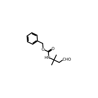 CC(C)(CC=O)NC(=O)OCc1ccccc1